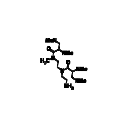 CNCC(NC)C(=O)N(C)CCN(CCN)C(=O)C(CNC)NC